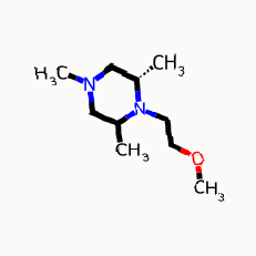 COCCN1C(C)CN(C)C[C@@H]1C